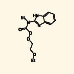 CCOCCOOC(=O)N(CC)c1nc2ccccc2[nH]1